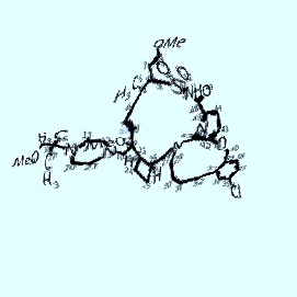 COCC[C@@H]1[C@@H](C)C/C=C/[C@](CN2CCN(C(C)(C)COC)CC2)(OC)[C@@H]2CC[C@H]2CN2CCCCc3cc(Cl)ccc3COc3ccc(nc32)C(=O)NS1(=O)=O